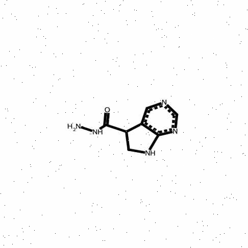 NNC(=O)C1CNc2ncncc21